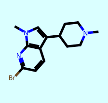 CN1CCC(c2cn(C)c3nc(Br)ccc23)CC1